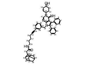 N=c1c2c(-c3ccccc3)c(-c3ccccc3)n(Cc3cccc(C#CCCCCNC(=O)CC4C5CC6CC(C5)CC4C6)c3)c2ncn1C1CCC(O)CC1